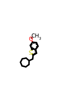 COc1ccc2cc(CC3CCCCCC3)sc2c1